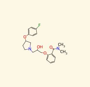 CN(C)C(=O)c1ccccc1OCC(O)CN1CCC(Oc2ccc(F)cc2)C1